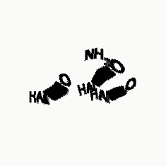 N.[O]=[AlH].[O]=[AlH].[O]=[AlH]